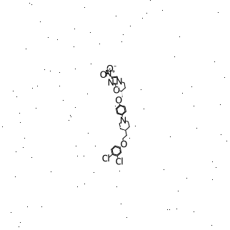 O=[N+]([O-])c1cn2c(n1)O[C@@H](COc1ccc(N3CCC(CCOc4ccc(Cl)c(Cl)c4)CC3)cc1)CC2